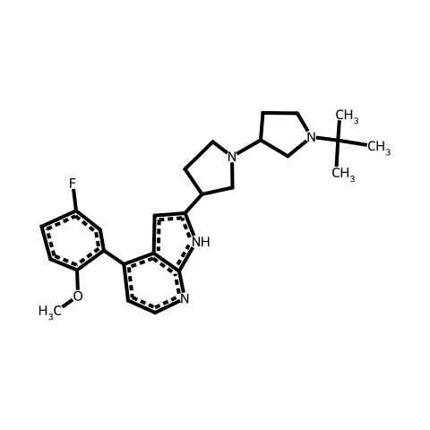 COc1ccc(F)cc1-c1ccnc2[nH]c(C3CCN(C4CCN(C(C)(C)C)C4)C3)cc12